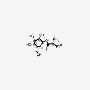 N[C@H]1[C@@H](OC(=O)[C@@H](N)CO)O[C@H](CO)[C@H](O)[C@@H]1O